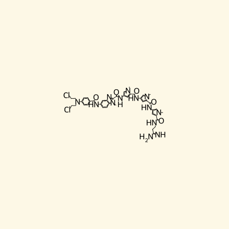 Cn1cc(NC(=O)c2cc(NC(=O)c3cc(NC(=O)c4nc5cc(NC(=O)c6ccc(N(CCCl)CCCl)cc6)ccc5n4C)cn3C)cn2C)cc1C(=O)NCCC(=N)N